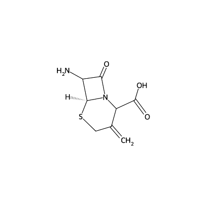 C=C1CS[C@H]2C(N)C(=O)N2C1C(=O)O